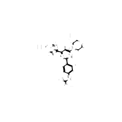 C[C@H]1COCCN1c1cc(C(C)(C)S(C)(=O)=O)nc(-c2ccc(NC(=O)O)cc2)n1